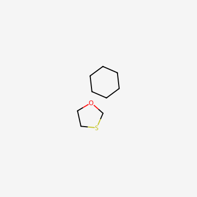 C1CCCCC1.C1CSCO1